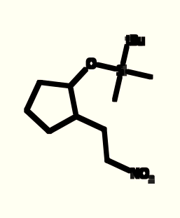 CC(C)(C)[Si](C)(C)OC1CCCC1CC[N+](=O)[O-]